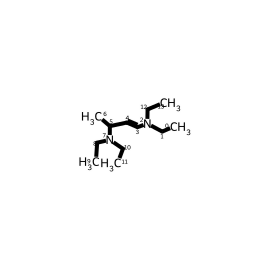 CCN(/C=C/C(C)N(CC)CC)CC